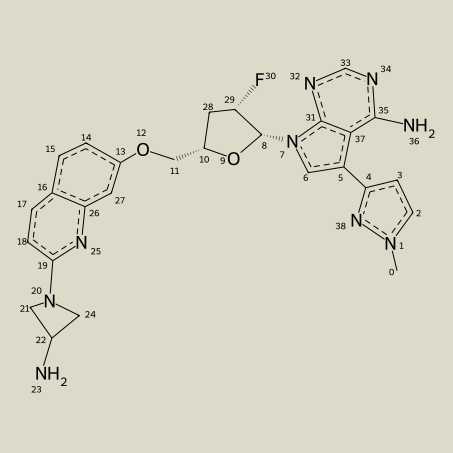 Cn1ccc(-c2cn([C@@H]3O[C@H](COc4ccc5ccc(N6CC(N)C6)nc5c4)C[C@@H]3F)c3ncnc(N)c23)n1